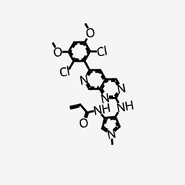 C=CC(=O)Nc1cn(C)cc1Nc1ncc2cc(-c3c(Cl)c(OC)cc(OC)c3Cl)ncc2n1